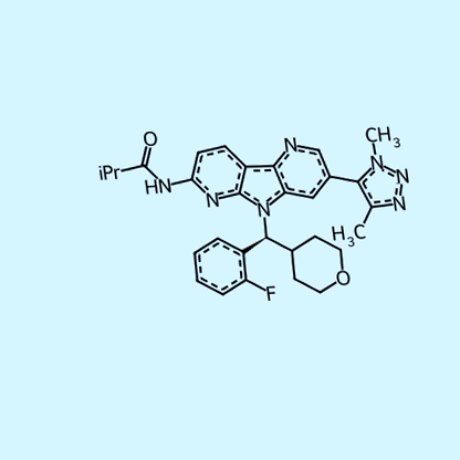 Cc1nnn(C)c1-c1cnc2c3ccc(NC(=O)C(C)C)nc3n([C@H](c3ccccc3F)C3CCOCC3)c2c1